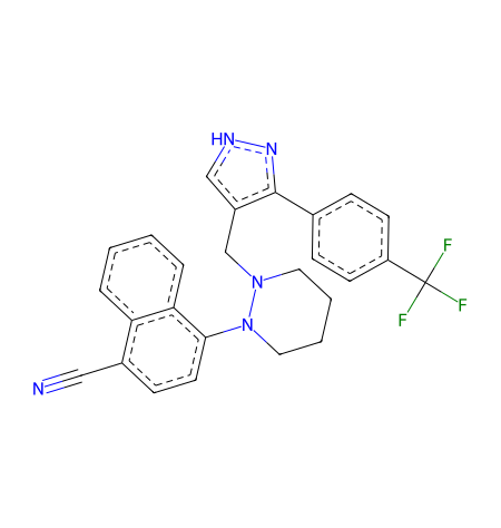 N#Cc1ccc(N2CCCCN2Cc2c[nH]nc2-c2ccc(C(F)(F)F)cc2)c2ccccc12